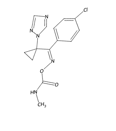 CNC(=O)ON=C(c1ccc(Cl)cc1)C1(n2cncn2)CC1